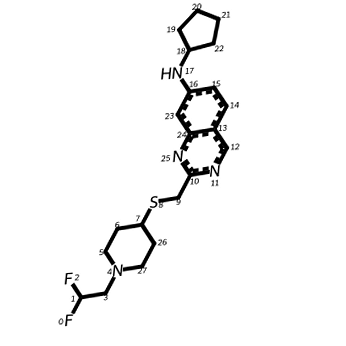 FC(F)CN1CCC(SCc2ncc3ccc(NC4CCCC4)cc3n2)CC1